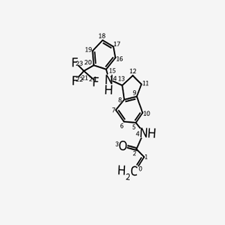 C=CC(=O)Nc1ccc2c(c1)CCC2Nc1ccccc1C(F)(F)F